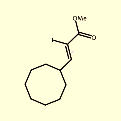 COC(=O)/C(I)=C/C1CCCCCCC1